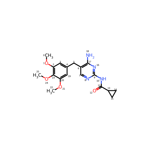 COc1cc(Cc2cnc(NC(=O)C3CC3)nc2N)cc(OC)c1OC